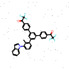 Cc1c(-c2cc(-c3ccc(C(=O)C(F)(F)F)cc3)cc(-c3ccc(C(=O)C(F)(F)F)cc3)c2)cccc1-n1ccc2ccccc21